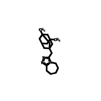 CC12CC3CC(C)(C1)CC(Cc1nnc4n1CCCCC4)(C3)C2